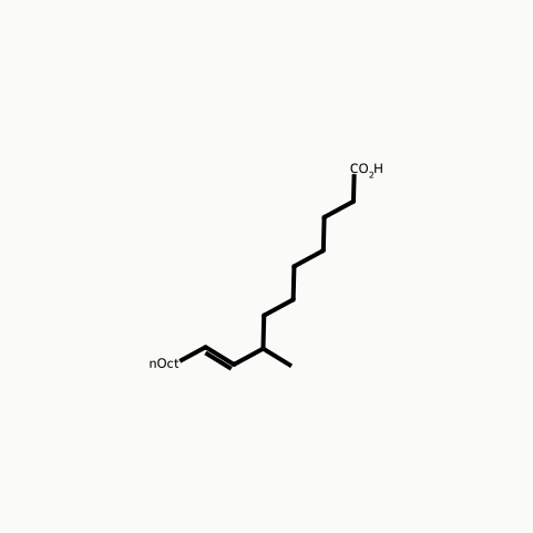 CCCCCCCC/C=C/C(C)CCCCCCC(=O)O